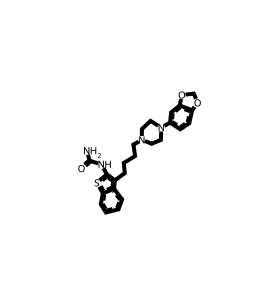 NC(=O)Nc1sc2ccccc2c1CCCCN1CCN(c2ccc3c(c2)OCO3)CC1